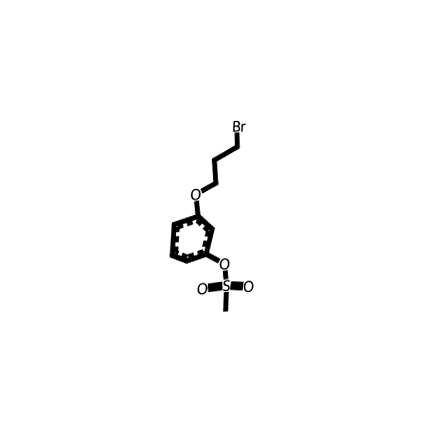 CS(=O)(=O)Oc1cccc(OCCCBr)c1